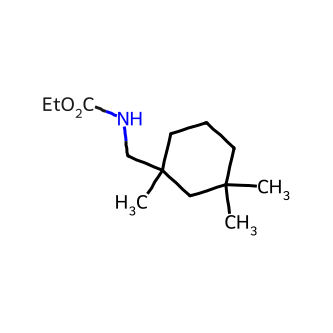 CCOC(=O)NCC1(C)CCCC(C)(C)C1